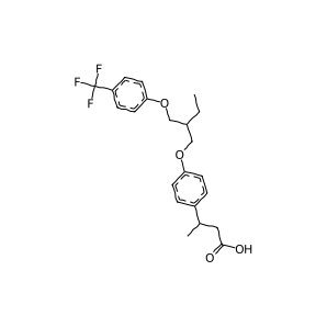 CCC(COc1ccc(C(C)CC(=O)O)cc1)COc1ccc(C(F)(F)F)cc1